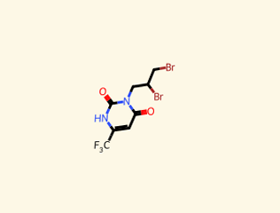 O=c1cc(C(F)(F)F)[nH]c(=O)n1CC(Br)CBr